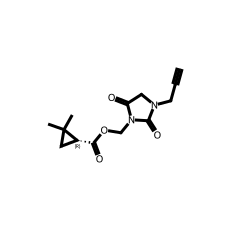 C#CCN1CC(=O)N(COC(=O)[C@@H]2CC2(C)C)C1=O